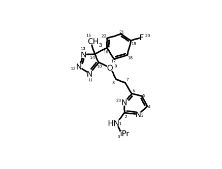 CC(C)Nc1nccc(CCOC2=NN=NC2(C)c2ccc(F)cc2)n1